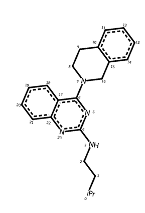 CC(C)CCNc1nc(N2CCc3ccccc3C2)c2ccccc2n1